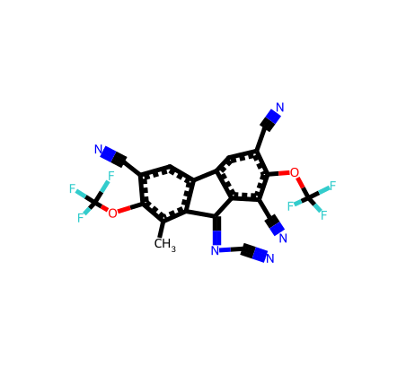 Cc1c(OC(F)(F)F)c(C#N)cc2c1/C(=N/C#N)c1c-2cc(C#N)c(OC(F)(F)F)c1C#N